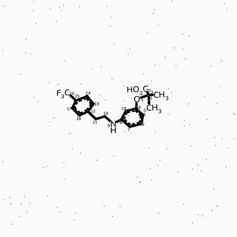 CC(C)(Oc1cccc(NCCc2ccc(C(F)(F)F)cc2)c1)C(=O)O